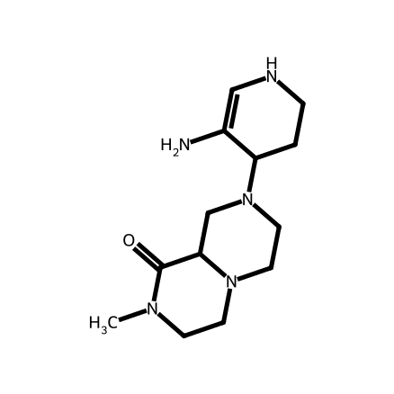 CN1CCN2CCN(C3CCNC=C3N)CC2C1=O